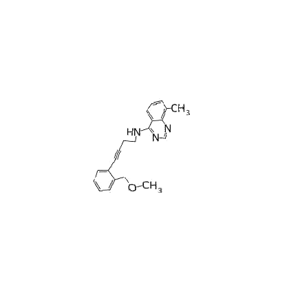 COCc1ccccc1C#CCCNc1ncnc2c(C)cccc12